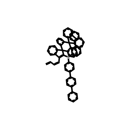 C=C/C=C\C1=C(N(c2ccc(-c3ccc(-c4ccccc4)cc3)cc2)c2cccc(-c3ccccc3)c2)C2(c3ccccc31)c1ccccc1C1(c3ccccc3-c3ccccc31)c1ccccc12